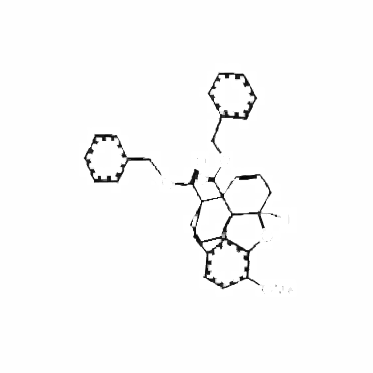 COc1ccc2c3c1O[C@H]1CC=CC4(C(=O)OCc5ccccc5)C(C(=O)OCc5ccccc5)(CCCC314)C2